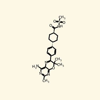 Cc1nc(N)c2c(n1)OC(C)(C)C(c1ccc([C@H]3CC[C@H](C(=O)NS(C)(=O)=O)CC3)cc1)=N2